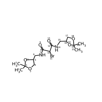 CC1(C)OCC(CNC(=O)C(Br)C(=O)NCC2COC(C)(C)O2)O1